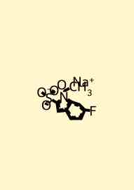 CC(=O)n1c(S(=O)(=O)[O-])cc2ccc(F)cc21.[Na+]